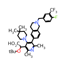 Cc1nc(C)c(C(OC(C)(C)C)C(=O)O)c(N2CCC(C)(C)CC2)c1-c1ccc2c(c1)CCN(Cc1ccc(F)c(C(F)(F)F)c1)C2